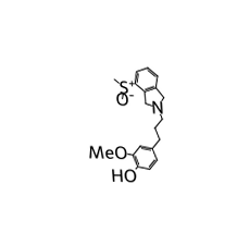 COc1cc(CCCN2Cc3cccc([S+](C)[O-])c3C2)ccc1O